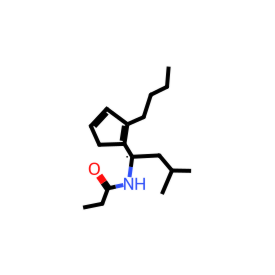 CCCCC1=C([C](CC(C)C)NC(=O)CC)CC=C1